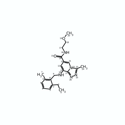 CCc1cccc(C)c1CNc1cc(C(=O)NCCOC)cn2c(C)nnc12